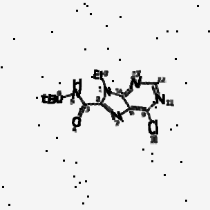 CCn1c(C(=O)NC(C)(C)C)nc2c(Cl)ncnc21